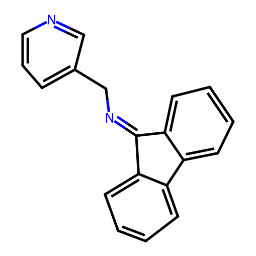 c1cncc(CN=C2c3ccccc3-c3ccccc32)c1